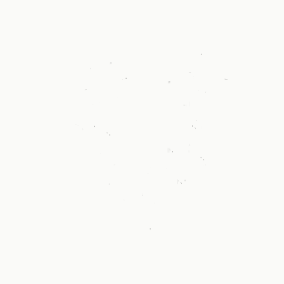 CN(Cc1ccc2c(Cl)cnc(NC(=N)N)c2c1)[C@H](C(=O)O)c1ccccc1.O=C(O)C(F)(F)F